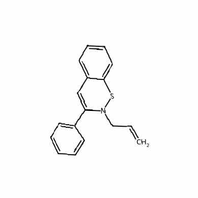 C=CCN1Sc2ccccc2C=C1c1ccccc1